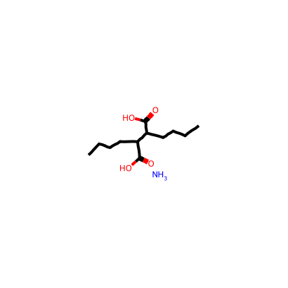 CCCCC(C(=O)O)C(CCCC)C(=O)O.N